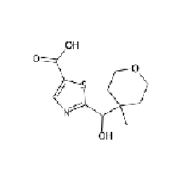 CC1(C(O)c2ncc(C(=O)O)s2)CCOCC1